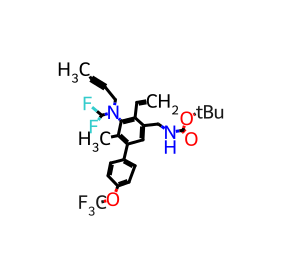 C=Cc1c(CNC(=O)OC(C)(C)C)cc(-c2ccc(OC(F)(F)F)cc2)c(C)c1N(CC#CC)C(F)F